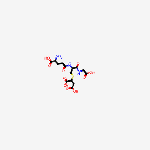 NC(CCC(=O)NC(CSC(CC(=O)O)C(=O)O)C(=O)NCC(=O)O)C(=O)O